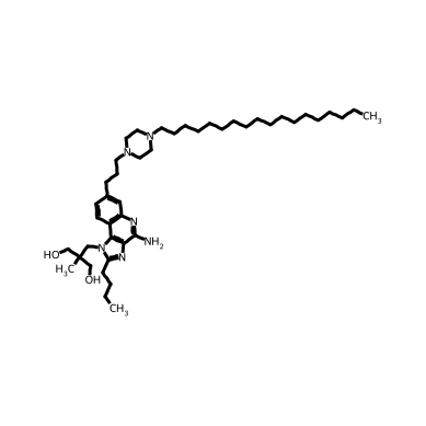 CCCCCCCCCCCCCCCCCCN1CCN(CCCc2ccc3c(c2)nc(N)c2nc(CCCC)n(CC(C)(CO)CO)c23)CC1